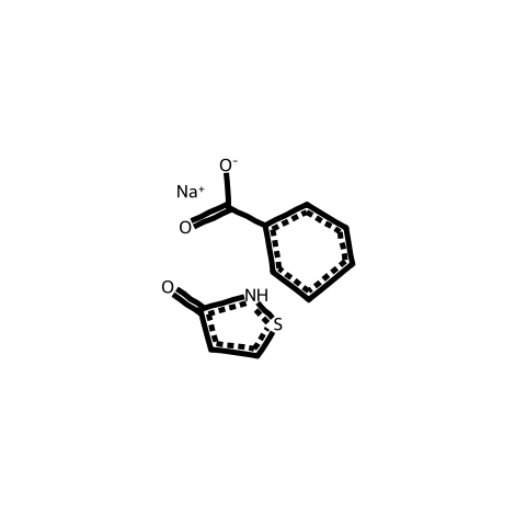 O=C([O-])c1ccccc1.O=c1ccs[nH]1.[Na+]